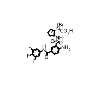 CC(C)(C)N(C(=O)O)[C@H]1CCC[C@H]1NS(=O)(=O)c1cc(C(=O)Nc2cc(F)c(F)c(F)c2)ccc1N